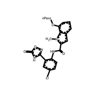 CCCCCOc1cccc2cc(C(=O)Nc3ccc(Cl)cc3-c3noc(=O)[nH]3)n(C)c12